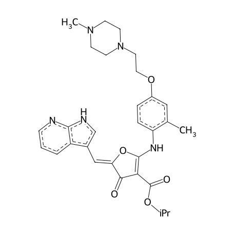 Cc1cc(OCCN2CCN(C)CC2)ccc1NC1=C(C(=O)OC(C)C)C(=O)C(=Cc2c[nH]c3ncccc23)O1